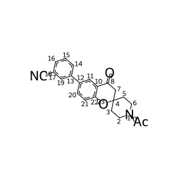 CC(=O)N1CCC2(CC1)CC(=O)c1cc(-c3cccc(C#N)c3)ccc1O2